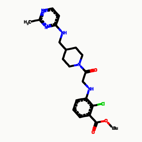 Cc1nccc(NCC2CCN(C(=O)CNc3cccc(C(=O)OC(C)(C)C)c3Cl)CC2)n1